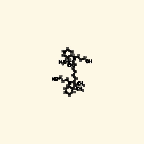 CC1(C)C(/C=C/C=C/C=C2/N(CCCO)c3ccccc3C2(C)C)=[N+](CCCO)c2ccccc21